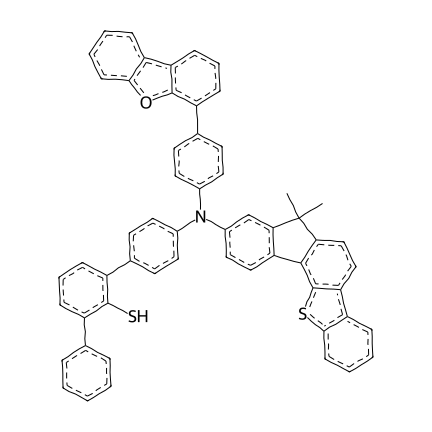 CC1(C)c2cc(N(c3ccc(-c4cccc(-c5ccccc5)c4S)cc3)c3ccc(-c4cccc5c4oc4ccccc45)cc3)ccc2-c2c1ccc1c2sc2ccccc21